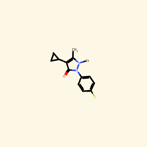 CCn1c(C)c(C2CC2)c(=O)n1-c1ccc(F)cc1